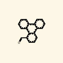 O=Cc1cccc2c3ccccc3c3ccccc3c12